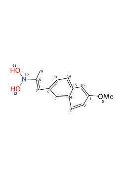 COc1ccc2cc(/C=C(\C)N(O)O)ccc2c1